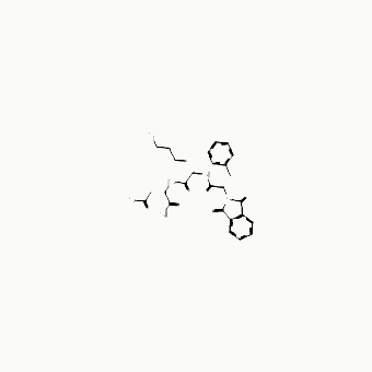 NCCCC[C@H](NC(=O)[C@H](Cc1ccccc1)N1C(=O)c2ccccc2C1=O)C(=O)N[C@@H](CC(N)=O)C(N)=O